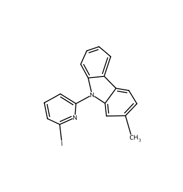 Cc1ccc2c3ccccc3n(-c3cccc(I)n3)c2c1